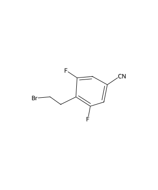 N#Cc1cc(F)c(CCBr)c(F)c1